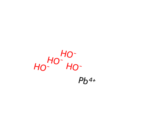 [OH-].[OH-].[OH-].[OH-].[Pb+4]